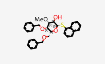 CO[C@@H]1[C@@H](O)[C@H](Sc2cccc3ccccc23)O[C@H](COCc2ccccc2)[C@H]1OCc1ccccc1